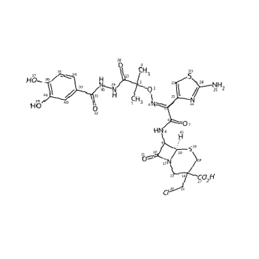 CC(C)(ON=C(C(=O)NC1C(=O)N2CC(CCl)(C(=O)O)CS[C@H]12)c1csc(N)n1)C(=O)NNC(=O)c1ccc(O)c(O)c1